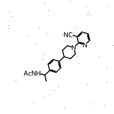 CC(=O)NC(C)c1ccc(C2CCN(c3ncccc3C#N)CC2)cc1